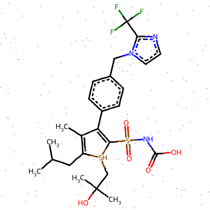 CC1=C(CC(C)C)[SH](CC(C)(C)O)C(S(=O)(=O)NC(=O)O)=C1c1ccc(Cn2ccnc2C(F)(F)F)cc1